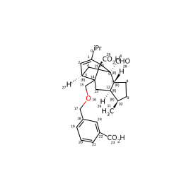 CC(C)C1=C[C@H]2C[C@@]3(C=O)[C@@H]4CC[C@@H](C)[C@H]4CC2(COCc2cccc(C(=O)O)c2)[C@]13C(=O)O